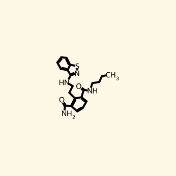 CCCCNC(=O)c1cccc(C(N)=O)c1CCNc1nsc2ccccc12